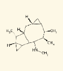 CNC1C2C3C[C@@H]3[C@H](C)[C@@H]2C[C@@H]2CC2[C@@H](C)[C@H]1C